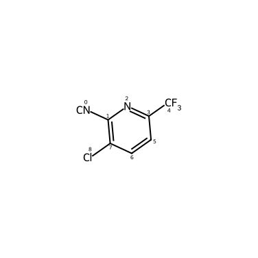 [C-]#[N+]c1nc(C(F)(F)F)ccc1Cl